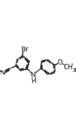 COc1ccc(Nc2cc(Br)cc(C#N)c2)cc1